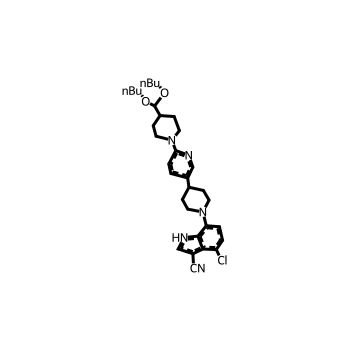 CCCCOC(OCCCC)C1CCN(c2ccc(C3CCN(c4ccc(Cl)c5c(C#N)c[nH]c45)CC3)cn2)CC1